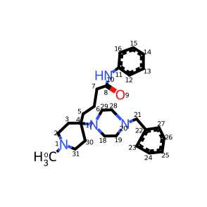 CN1CCC(CCCC(=O)Nc2ccccc2)(N2CCN(Cc3ccccc3)CC2)CC1